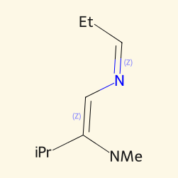 CC/C=N\C=C(/NC)C(C)C